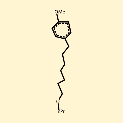 [CH2]CCOCCCCCCCc1ccc(OC)cc1